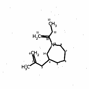 C=C(C)CC1CCCCN(C(=C)CC)C1